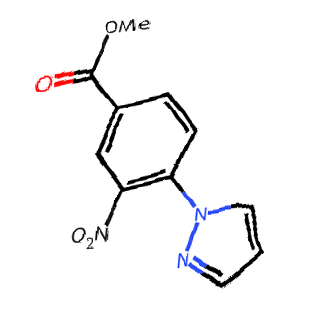 COC(=O)c1ccc(-n2cccn2)c([N+](=O)[O-])c1